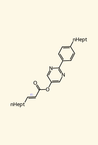 CCCCCCC/C=C/C(=O)Oc1cnc(-c2ccc(CCCCCCC)cc2)nc1